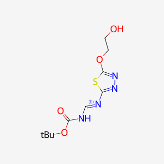 CC(C)(C)OC(=O)N/C=N/c1nnc(OCCO)s1